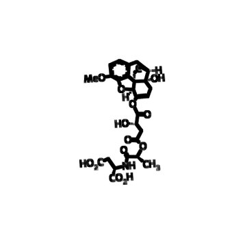 COc1ccc2c3c1O[C@@H]1C(OC(=O)[C@@H](O)CC(=O)O[C@@H](C)C(=O)N[C@H](CC(=O)O)C(=O)O)=CC[C@]4(O)[C@@H](CCC[C@@]314)C2